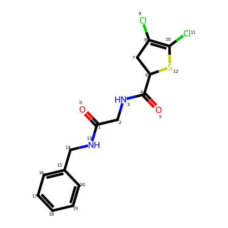 O=C(CNC(=O)C1CC(Cl)=C(Cl)S1)NCc1ccccc1